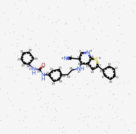 N#Cc1cnc2sc(-c3ccccc3)cc2c1NCCc1ccc(NC(=O)Nc2ccccc2)cc1